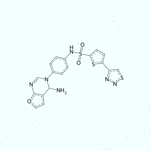 NC1c2ccoc2N=CN1c1ccc(NS(=O)(=O)c2ccc(-c3csnn3)s2)cc1